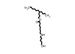 CCCCCCC(CCCC)CCCOC(=O)CCCCCCNCCCCCO